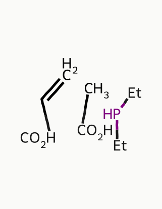 C=CC(=O)O.CC(=O)O.CCPCC